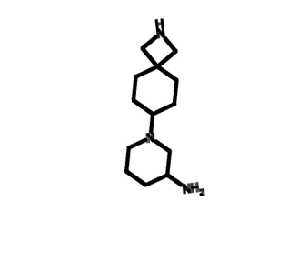 NC1CCCN(C2CCC3(CC2)CNC3)C1